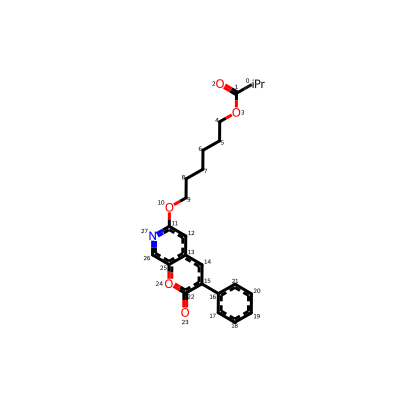 CC(C)C(=O)OCCCCCCOc1cc2cc(-c3ccccc3)c(=O)oc2cn1